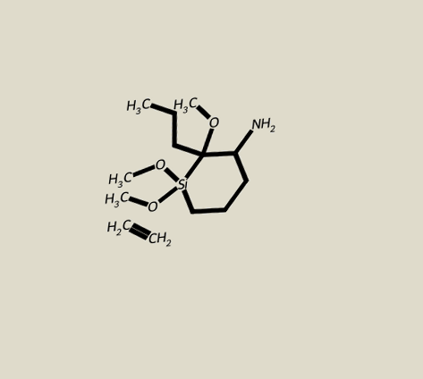 C=C.CCCC1(OC)C(N)CCC[Si]1(OC)OC